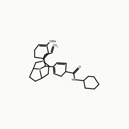 C=CCN1CCC2CCC(C1)N2C(C1=CCC(C(=O)NC2CCCCC2)C=C1)C1=CC(OC)=CCC1